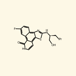 CC(C)C[C@@H](CO)Nc1nc2c3ccc(F)cc3c3c(=O)[nH]ccc3c2s1